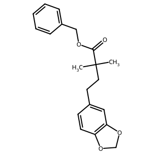 CC(C)(CCc1ccc2c(c1)OCO2)C(=O)OCc1ccccc1